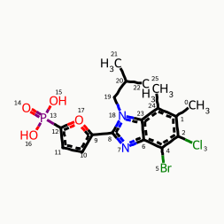 Cc1c(Cl)c(Br)c2nc(-c3ccc(P(=O)(O)O)o3)n(CC(C)C)c2c1C